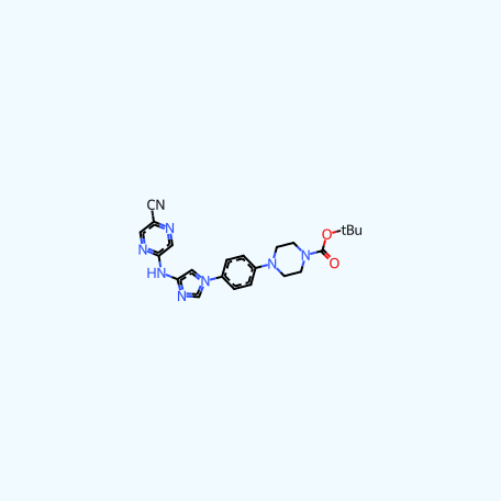 CC(C)(C)OC(=O)N1CCN(c2ccc(-n3cnc(Nc4cnc(C#N)cn4)c3)cc2)CC1